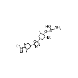 CCc1cc(-c2nnc(-c3cnc(N(CC)CC)c(C)c3)o2)cc(C)c1OC[C@@H](O)CN